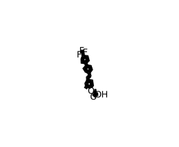 Cc1cc(C=Cc2ccc(-c3ccc(C(F)(F)F)cc3)cc2)ccc1OCC(=O)O